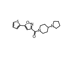 O=C(c1cc(-c2cccs2)on1)N1CCC(N2CCCC2)CC1